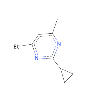 CCc1cc(C)nc(C2CC2)n1